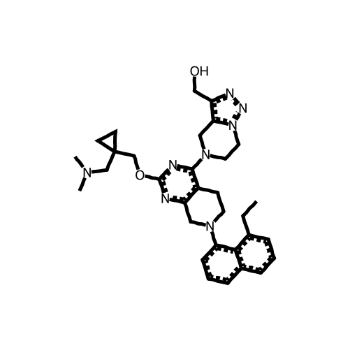 CCc1cccc2cccc(N3CCc4c(nc(OCC5(CN(C)C)CC5)nc4N4CCn5nnc(CO)c5C4)C3)c12